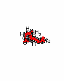 C=CC(=O)N1CN(C(=O)C=C)CN(C(=O)CCSCC(=O)N[C@H](C(=O)N[C@@H](CCCNC(N)=O)C(=O)Nc2ccc(OCC(=O)N(C)[C@H](C(=O)N[C@H](C(=O)N(C)[C@@H]([C@@H](C)CC)[C@@H](CC(=O)N3CCC[C@H]3[C@H](OC)[C@@H](C)C(=O)N[C@@H](Cc3ccccc3)c3nccs3)OC)C(C)C)C(C)C)cc2)C(C)C)C1